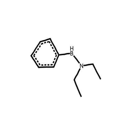 CCN(Bc1ccccc1)CC